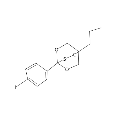 CCCC12COC(c3ccc(I)cc3)(OC1)SC2